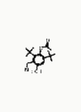 CC(=O)Oc1c(C(C)(C)C)cc(O)c(CN)c1C(C)(C)C